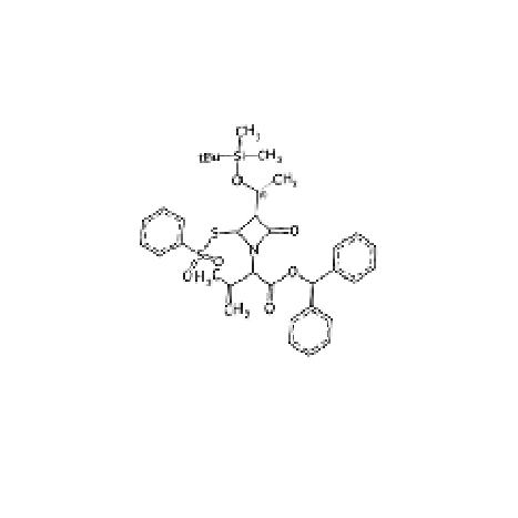 C=C(C)C(C(=O)OC(c1ccccc1)c1ccccc1)N1C(=O)C([C@@H](C)O[Si](C)(C)C(C)(C)C)C1SS(=O)(=O)c1ccccc1